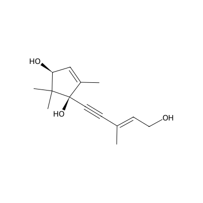 CC(C#C[C@@]1(O)C(C)=C[C@H](O)C1(C)C)=CCO